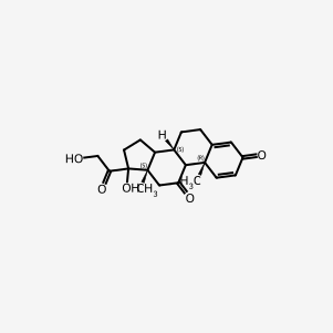 C[C@]12C=CC(=O)C=C1CC[C@@H]1C2C(=O)C[C@@]2(C)C1CCC2(O)C(=O)CO